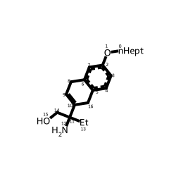 CCCCCCCOc1ccc2c(c1)CC=C(C(N)(CC)CO)C2